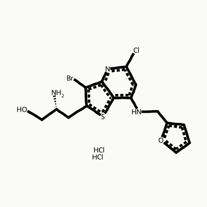 Cl.Cl.N[C@@H](CO)Cc1sc2c(NCc3ccco3)cc(Cl)nc2c1Br